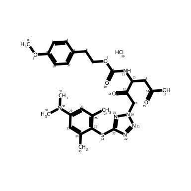 COc1ccc(CCOC(=O)NC(CC(=O)O)C(=O)Cn2nnc(Sc3c(C)cc(N(C)C)cc3C)n2)cc1.Cl